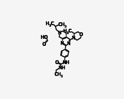 CCNC(=O)Nc1ccc(-c2nc3c(c(N4CCOCC4C)n2)CCN(CC(C)C)C3)cc1.O=CO